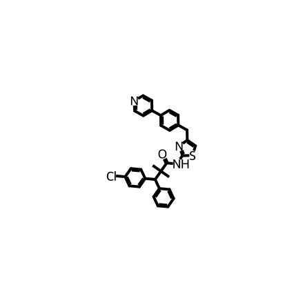 CC(C)(C(=O)Nc1nc(Cc2ccc(-c3ccncc3)cc2)cs1)C(c1ccccc1)c1ccc(Cl)cc1